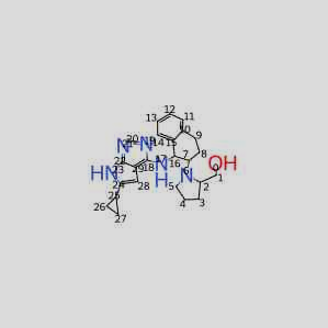 OCC1CCCN1C1CCc2ccccc2C1Nc1ncnc2[nH]c(C3CC3)cc12